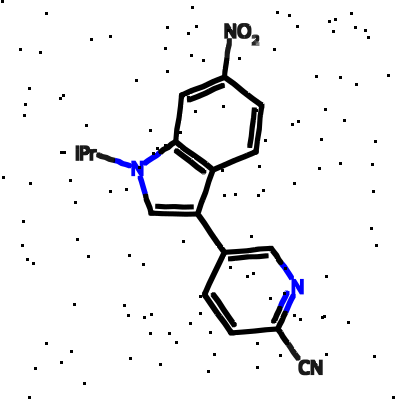 CC(C)n1cc(-c2ccc(C#N)nc2)c2ccc([N+](=O)[O-])cc21